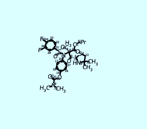 CC(C)OC(=O)[C@@](C)(C(=O)[C@H]1NC(C)(C)CS1)N(c1ccc(OC(=O)N(C)C)cc1)S(=O)(=O)c1ccc(F)c(F)c1